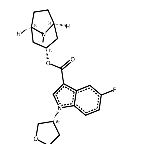 CN1[C@@H]2CC[C@H]1C[C@H](OC(=O)c1cn([C@@H]3CCOC3)c3ccc(F)cc13)C2